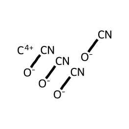 N#C[O-].N#C[O-].N#C[O-].N#C[O-].[C+4]